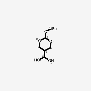 CC(C)(C)OC1OCC(C(O)O)CO1